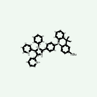 CC(C)(C)c1ccc2c(c1)C(C)(C)c1ccccc1N2c1ccc(-c2nc(-c3ccccn3)c(-c3ccccn3)n2-c2ccccc2)cc1